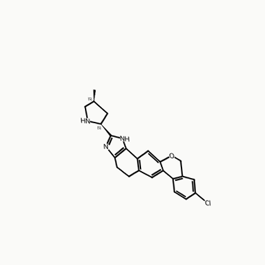 C[C@@H]1CN[C@H](c2nc3c([nH]2)-c2cc4c(cc2CC3)-c2ccc(Cl)cc2CO4)C1